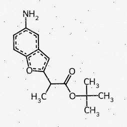 CC(C(=O)OC(C)(C)C)c1cc2cc(N)ccc2o1